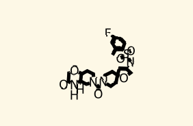 Cc1cc(F)ccc1S(=O)(=O)N(C)[C@H]1COC2(CCN(C(=O)N3CCC4OCC(=O)N[C@@H]4C3)CC2)C1